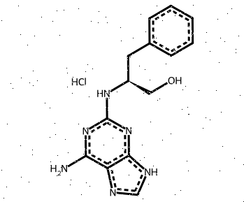 Cl.Nc1nc(N[C@H](CO)Cc2ccccc2)nc2[nH]cnc12